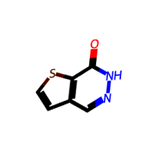 O=c1[nH]ncc2ccsc12